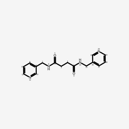 O=C(CCC(=O)NCc1cccnc1)NCc1cccnc1